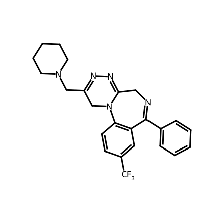 FC(F)(F)c1ccc2c(c1)C(c1ccccc1)=NCC1=NN=C(CN3CCCCC3)CN12